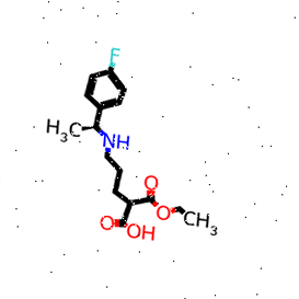 CCOC(=O)C(CCCN[C@@H](C)c1ccc(F)cc1)C(=O)O